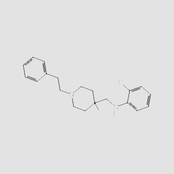 OC1(CNc2ccccc2F)CCN(CCc2ccccc2)CC1